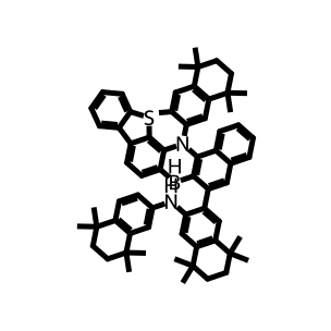 Cc1cc2c(cc1N1c3c(c(-c4cc5c(cc4Nc4ccc6c(c4)C(C)(C)CCC6(C)C)C(C)(C)CCC5(C)C)cc4ccccc34)Bc3ccc4c(sc5ccccc54)c31)C(C)(C)CCC2(C)C